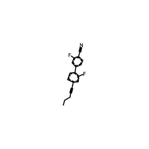 CCCC#Cc1ccc(-c2ccc(C#N)c(F)c2)c(F)c1